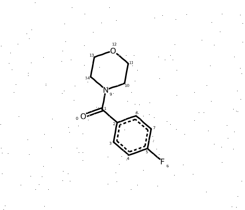 O=C(c1ccc(F)cc1)N1CCOCC1